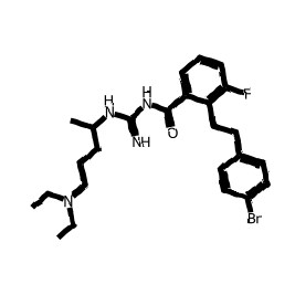 CCN(CC)CCCC(C)NC(=N)NC(=O)c1cccc(F)c1CCc1ccc(Br)cc1